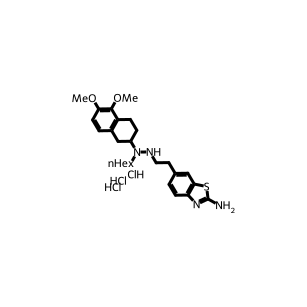 CCCCCCN(NCCc1ccc2nc(N)sc2c1)C1CCc2c(ccc(OC)c2OC)C1.Cl.Cl.Cl